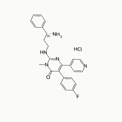 Cl.Cn1c(NCC[C@@H](N)c2ccccc2)nc(-c2ccncc2)c(-c2ccc(F)cc2)c1=O